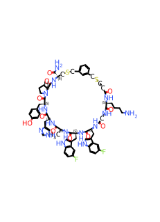 C[C@@H]1NC(=O)[C@H](Cc2c[nH]c3ccc(F)cc23)NC(=O)[C@H](Cc2c[nH]c3ccc(F)cc23)NC(=O)CNC(=O)[C@H](CCCCN)NC(=O)CCSCc2cccc(c2)CSC[C@@H](C(N)=O)NC(=O)[C@@H]2CCCN2C(=O)[C@H](Cc2ccc(O)cc2)NC(=O)[C@H](Cc2c[nH]cn2)NC1=O